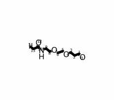 O=CCCOCCOCCNC(=O)CI